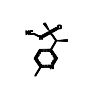 Cc1ccc([C@H](C)[S@@](C)(=O)=NC#N)cn1